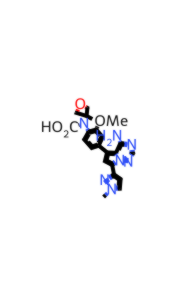 COc1cc(-c2cc(-c3ccn(C)n3)n3ncnc(N)c23)ccc1N(C(=O)O)C1(C)COC1